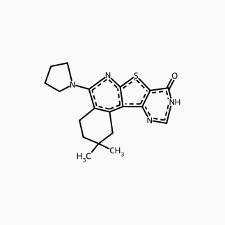 CC1(C)CCc2c(N3CCCC3)nc3sc4c(=O)[nH]cnc4c3c2C1